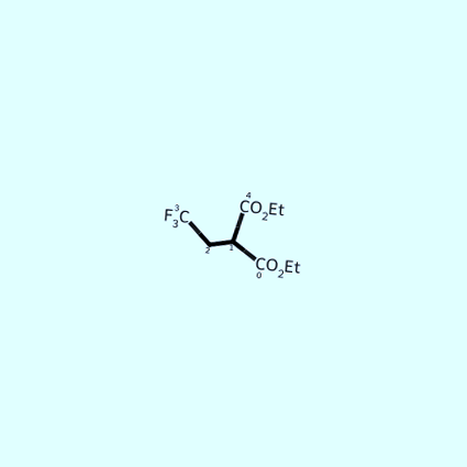 CCOC(=O)C(CC(F)(F)F)C(=O)OCC